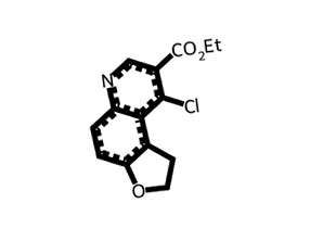 CCOC(=O)c1cnc2ccc3c(c2c1Cl)CCO3